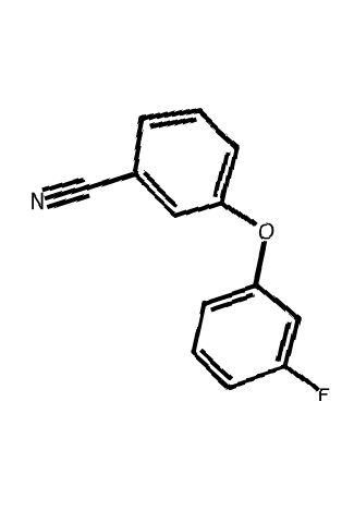 N#Cc1cccc(Oc2cccc(F)c2)c1